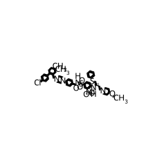 CCOC1CCN(CC[C@H](CSc2ccccc2)Nc2ccc(S(=O)(=O)NC(=O)c3ccc(N4CCN(CC5=C(c6ccc(Cl)cc6)CCC(C)(C)C5)CC4)cc3)cc2[N+](=O)[O-])CC1